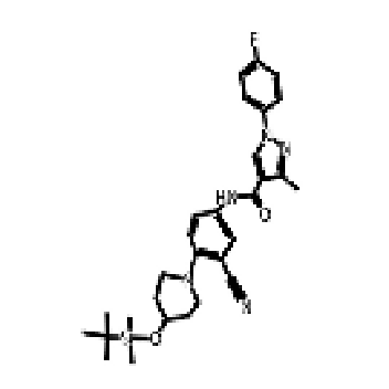 Cc1nn(-c2ccc(F)cc2)cc1C(=O)Nc1ccc(N2CCC(O[Si](C)(C)C(C)(C)C)CC2)c(C#N)c1